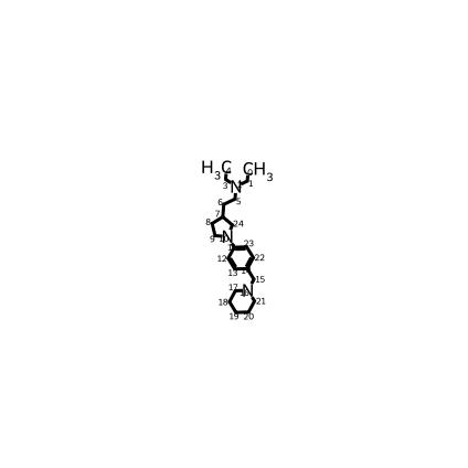 CCN(CC)CCC1CCN(c2ccc(CN3CCCCC3)cc2)C1